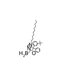 BCCCC(c1cccc(C(C)(C)C)c1)(c1ccccc1OC)c1nccn1CCCCCCCCCCCC